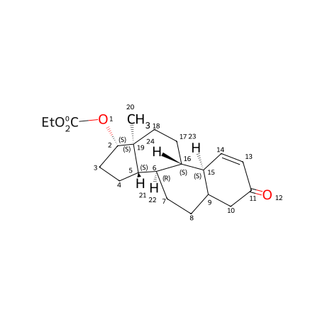 CCOC(=O)O[C@H]1CC[C@H]2[C@@H]3CCC4CC(=O)C=C[C@@H]4[C@H]3CC[C@]12C